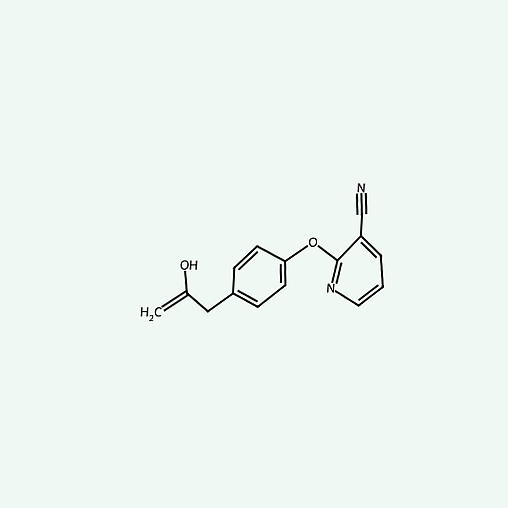 C=C(O)Cc1ccc(Oc2ncccc2C#N)cc1